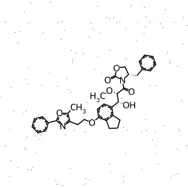 CO[C@H](C(=O)N1C(=O)OC[C@@H]1Cc1ccccc1)[C@H](O)c1ccc(OCCc2nc(-c3ccccc3)oc2C)c2c1CCC2